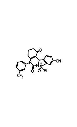 CC[SH]1(=O)c2cc(C#N)ccc2C2C3=C(CCCC3=O)N(c3cccc(C(F)(F)F)c3)C(=O)N21